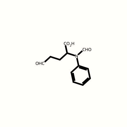 O=CCCC(C(=O)O)N(C=O)c1ccccc1